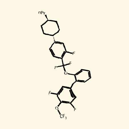 CCC[C@H]1CC[C@H](c2ccc(C(F)(F)Oc3ccccc3-c3cc(F)c(OC(F)(F)F)c(F)c3)c(F)c2)CC1